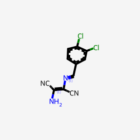 N#C/C(N)=C(C#N)\N=C\c1ccc(Cl)c(Cl)c1